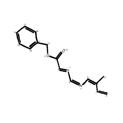 C=C\C(C)=C/N=C\N=C\C(=O)OCc1ccccc1